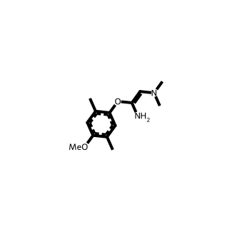 COc1cc(C)c(O/C(N)=C/N(C)C)cc1C